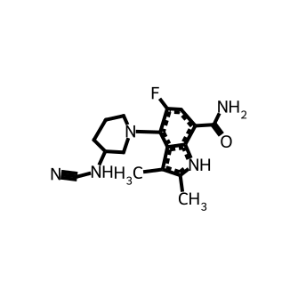 Cc1[nH]c2c(C(N)=O)cc(F)c(N3CCCC(NC#N)C3)c2c1C